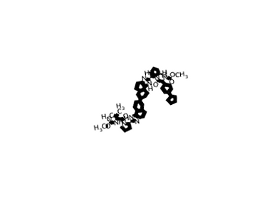 COC(=O)N[C@H](C(=O)N1CCC[C@H]1c1nc2ccc3cc(-c4ccc5c(ccc6nc([C@@H]7[C@@H]8CC[C@@H](C8)N7C(=O)[C@H](NC(=O)OC)c7ccc(C8CCCC8)cc7)[nH]c65)c4)ccc3c2[nH]1)C(C)C